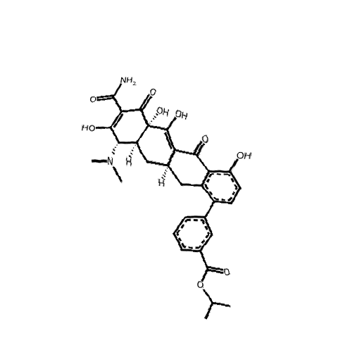 CC(C)OC(=O)c1cccc(-c2ccc(O)c3c2C[C@H]2C[C@H]4[C@H](N(C)C)C(O)=C(C(N)=O)C(=O)[C@@]4(O)C(O)=C2C3=O)c1